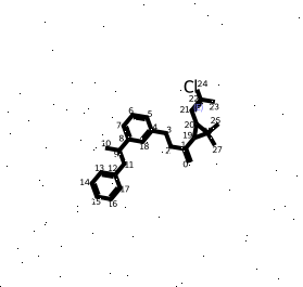 C=C(CCc1cccc(C(C)Cc2ccccc2)c1)C1C(/C=C(\C)Cl)C1(C)C